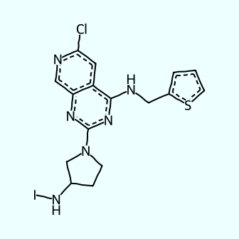 Clc1cc2c(NCc3cccs3)nc(N3CCC(NI)C3)nc2cn1